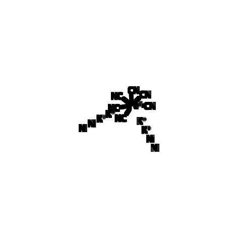 N#[C][Fe-4]([C]#N)([C]#N)([C]#N)([C]#N)[C]#N.[K+].[K+].[K+].[K+].[Ni].[Ni].[Ni].[Ni]